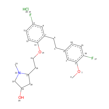 COc1cc(CCc2cc(F)ccc2OCCC2CC(O)CN2C)ccc1F.Cl